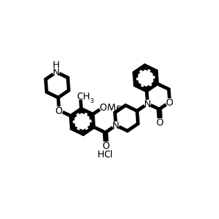 COc1c(C(=O)N2CCC(N3C(=O)OCc4ccccc43)CC2)ccc(OC2CCNCC2)c1C.Cl